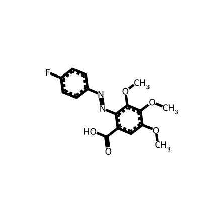 COc1cc(C(=O)O)c(/N=N/c2ccc(F)cc2)c(OC)c1OC